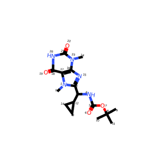 Cn1c(C(NC(=O)OC(C)(C)C)C2CC2)nc2c1c(=O)[nH]c(=O)n2C